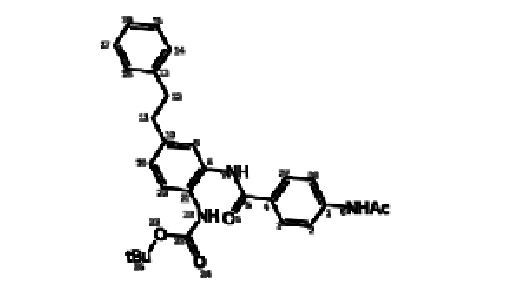 CC(=O)Nc1ccc(C(=O)Nc2cc(CCc3ccccc3)ccc2NC(=O)OC(C)(C)C)cc1